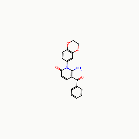 Nc1c(C(=O)c2ccccc2)ccc(=O)n1-c1ccc2c(c1)OCCO2